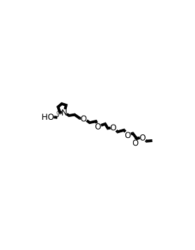 CCOC(=O)COCCOCCOCCOCCCN1CCC[C@H]1CO